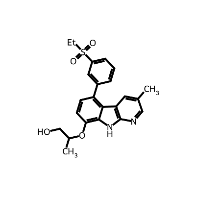 CCS(=O)(=O)c1cccc(-c2ccc(OC(C)CO)c3[nH]c4ncc(C)cc4c23)c1